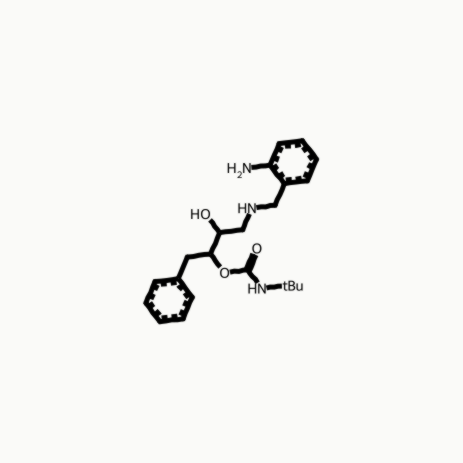 CC(C)(C)NC(=O)OC(Cc1ccccc1)C(O)CNCc1ccccc1N